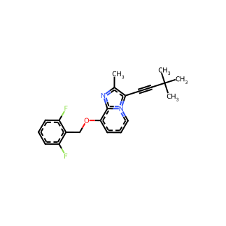 Cc1nc2c(OCc3c(F)cccc3F)cccn2c1C#CC(C)(C)C